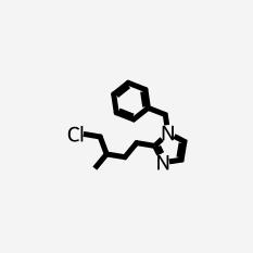 CC(CCl)CCc1nccn1Cc1ccccc1